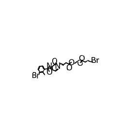 Cc1c(Br)cccc1-c1nc2c(=O)n(CCCC(=O)OCCOC(=O)CCCBr)ccc2o1